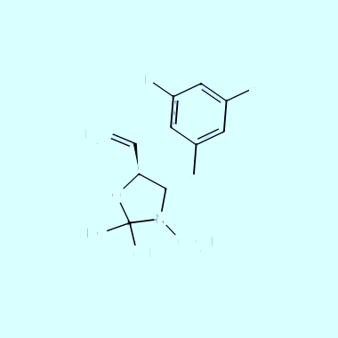 C=C[C@@H]1OC(C)(C)N(C(=O)O)[C@H]1Cc1cc(F)cc(F)c1